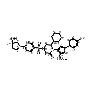 C[C@@]1(O)CCN(c2ccc(S(=O)(=O)N3CC(=O)N(c4cc(-c5ccc(F)cc5)sc4C(=O)O)C(C4CCCCC4)C3)cn2)C1